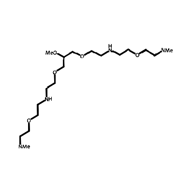 CNCCOCCNCCOCC(COCCNCCOCCNC)OC